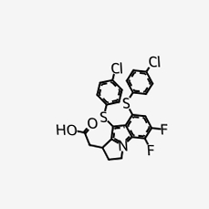 O=C(O)CC1CCn2c1c(Sc1ccc(Cl)cc1)c1c(Sc3ccc(Cl)cc3)cc(F)c(F)c12